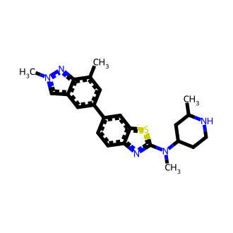 Cc1cc(-c2ccc3nc(N(C)C4CCNC(C)C4)sc3c2)cc2cn(C)nc12